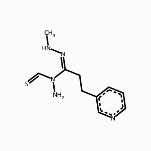 CN/N=C(/CCc1cccnc1)N(N)C=S